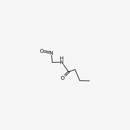 CCCC(=O)NCN=O